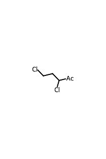 CC(=O)C(Cl)CCCl